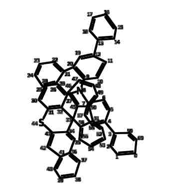 c1ccc(-c2ccc(N(c3ccc(-c4ccccc4)cc3-c3ccccc3)c3cccc4c3C3(c5cc6ccccc6cc5S4)c4ccccc4-c4ccccc43)cc2)cc1